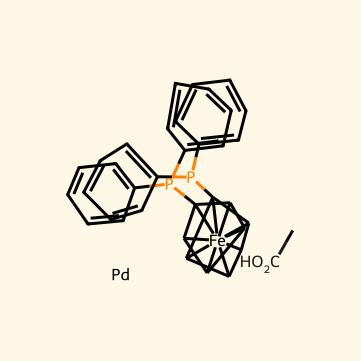 CC(=O)O.[Pd].c1ccc(P(c2ccccc2)[C]23[CH]4[CH]5[CH]6[CH]2[Fe]56432789[CH]3[CH]2[CH]7[C]8(P(c2ccccc2)c2ccccc2)[CH]39)cc1